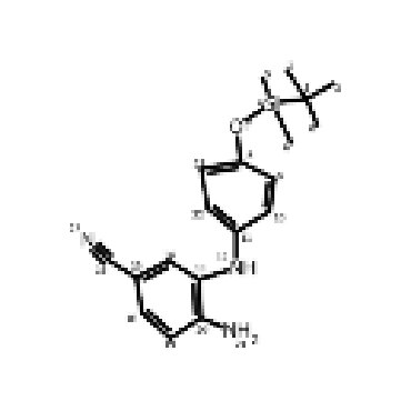 CC(C)(C)[Si](C)(C)Oc1ccc(Nc2cc(C#N)ccc2N)cc1